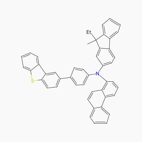 CCC1(C)c2ccccc2-c2ccc(N(c3ccc(-c4ccc5sc6ccccc6c5c4)cc3)c3cccc4c3ccc3ccccc34)cc21